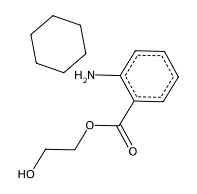 C1CCCCC1.Nc1ccccc1C(=O)OCCO